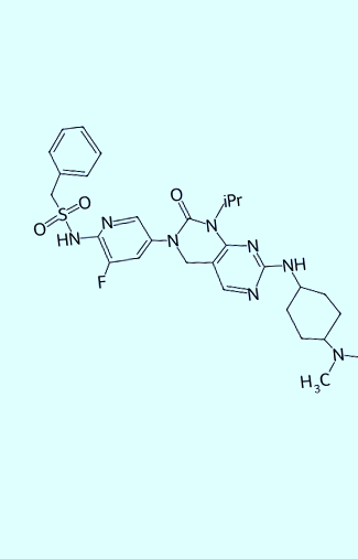 CC(C)N1C(=O)N(c2cnc(NS(=O)(=O)Cc3ccccc3)c(F)c2)Cc2cnc(NC3CCC(N(C)C)CC3)nc21